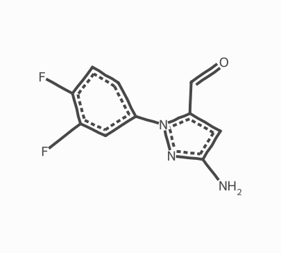 Nc1cc(C=O)n(-c2ccc(F)c(F)c2)n1